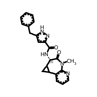 CN1C(=O)[C@@H](NC(=O)c2cc(Cc3ccccc3)[nH]n2)C2CC2c2cccnc21